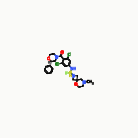 CN1CCOC2(C1)CN([SH](F)Nc1cc(Cl)c(C(=O)N3CCO[C@@H](c4ccccc4)C3)c(Cl)c1)C2